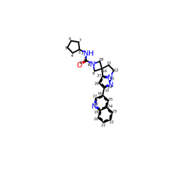 O=C(NC1CCCC1)N1CC2(CCn3nc(-c4cnc5ccccc5c4)cc32)C1